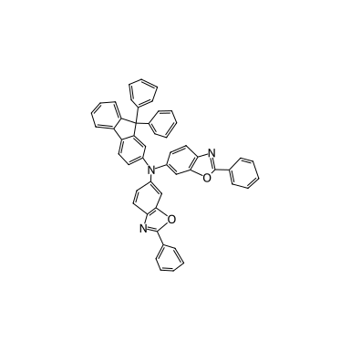 c1ccc(-c2nc3ccc(N(c4ccc5c(c4)C(c4ccccc4)(c4ccccc4)c4ccccc4-5)c4ccc5nc(-c6ccccc6)oc5c4)cc3o2)cc1